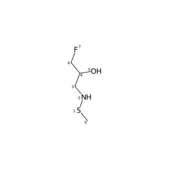 CSNCC(O)CF